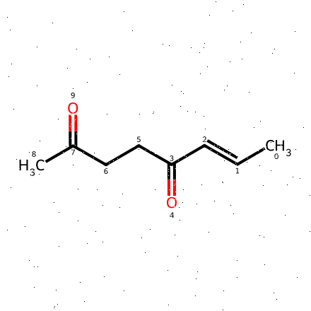 CC=CC(=O)CCC(C)=O